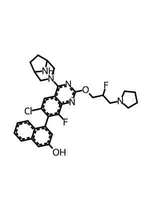 Oc1cc(-c2c(Cl)cc3c(N4CC5CCC(C4)N5)nc(OCC(F)CN4CCCC4)nc3c2F)c2ccccc2c1